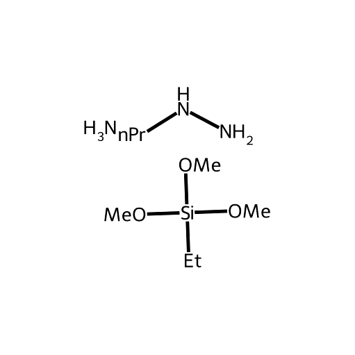 CCCNN.CC[Si](OC)(OC)OC.N